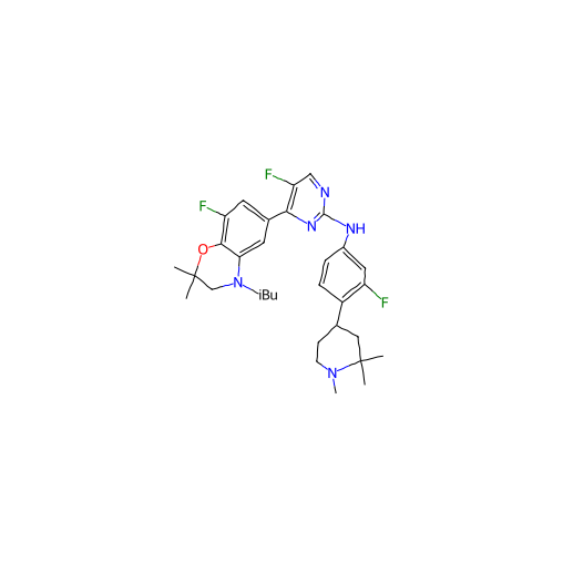 CCC(C)N1CC(C)(C)Oc2c(F)cc(-c3nc(Nc4ccc(C5CCN(C)C(C)(C)C5)c(F)c4)ncc3F)cc21